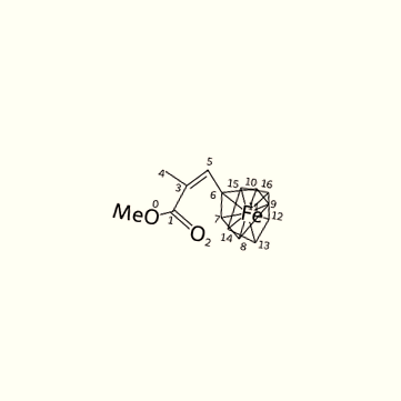 COC(=O)C(C)=C[C]12[CH]3[CH]4[CH]5[CH]1[Fe]45321678[CH]2[CH]1[CH]6[CH]7[CH]28